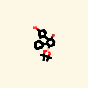 CC1(C)OB(c2ccc(Br)c(-c3ccc(O)cc3)c2-c2ccccc2)OC1(C)C